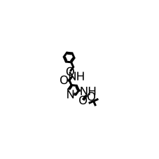 CC(C)(C)OC(=O)Nc1cncc(C(=O)NOCc2ccccc2)c1